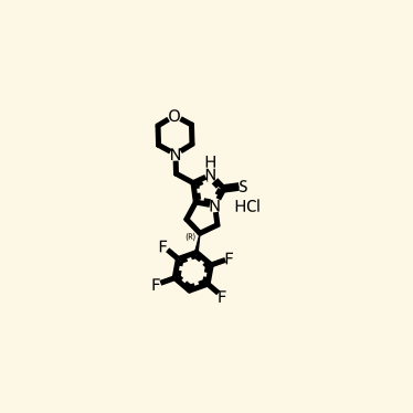 Cl.Fc1cc(F)c(F)c([C@H]2Cc3c(CN4CCOCC4)[nH]c(=S)n3C2)c1F